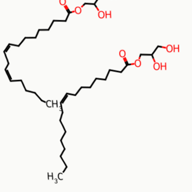 CCCCC/C=C\C/C=C\CCCCCCCC(=O)OCC(O)CO.CCCCCCCC/C=C\CCCCCCCC(=O)OCC(O)CO